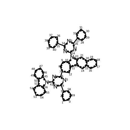 c1ccc(-c2nc(-c3ccc4c(c3)c3cc5ccccc5cc3n4-c3nc(-c4ccccc4)nc(-c4ccccc4)n3)nc(-n3c4ccccc4c4ccccc43)n2)cc1